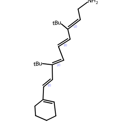 CC(C)(C)C(=C\CN)/C=C/C=C(/C=C/C1=CCCCC1)C(C)(C)C